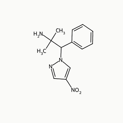 CC(C)(N)C(c1ccccc1)n1cc([N+](=O)[O-])cn1